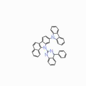 c1ccc(-c2nc(-n3c4cc(-n5c6ccccc6c6ccccc65)ccc4c4ccc5ccccc5c43)nc3ccccc23)cc1